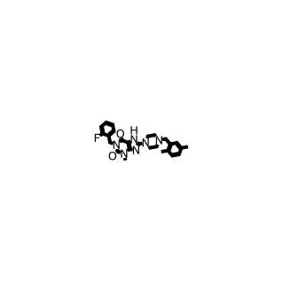 Cc1ccc(C)c(CN2CCN(c3nc4c([nH]3)c(=O)n(Cc3ccccc3F)c(=O)n4C)CC2)c1